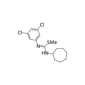 CS/C(=N\c1cc(Cl)cc(Cl)c1)NC1CCCCCC1